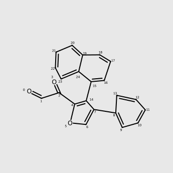 O=CC(=O)c1occ(-c2ccccc2)c1-c1cccc2ccccc12